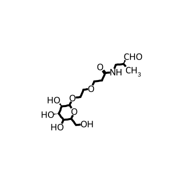 C[C@H](C=O)CNC(=O)CCOCCOC1OC(CO)C(O)[C@H](O)[C@H]1O